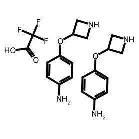 Nc1ccc(OC2CNC2)cc1.Nc1ccc(OC2CNC2)cc1.O=C(O)C(F)(F)F